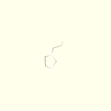 ClCCN1CCNC1